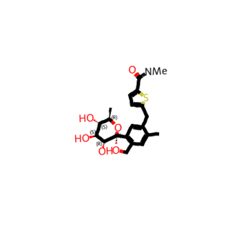 CNC(=O)c1ccc(Cc2cc3c(cc2C)CO[C@]32O[C@H](C)[C@@H](O)[C@H](O)[C@H]2O)s1